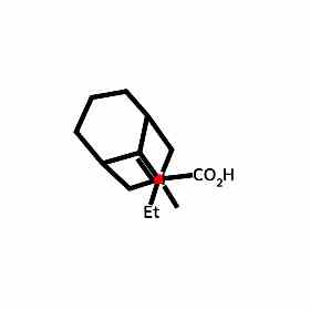 CCC(C(=O)O)=C1C2CCCC1CN(C)C2